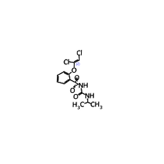 CC(C)NC(=O)NS(=O)(=O)c1ccccc1O/C(Cl)=C/Cl